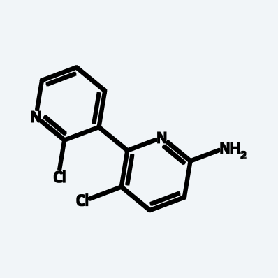 Nc1ccc(Cl)c(-c2cccnc2Cl)n1